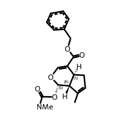 CNC(=O)O[C@@H]1OC=C(C(=O)OCc2ccccc2)[C@H]2CC=C(C)[C@H]12